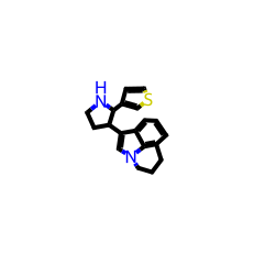 c1cc2c3c(c1)c(C1CCNC1c1ccsc1)cn3CCC2